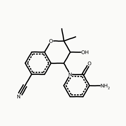 CC1(C)Oc2ccc(C#N)cc2C(n2cccc(N)c2=O)C1O